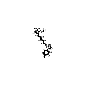 Cc1ccc(S(=O)(=O)OCCCCCCCCC(=O)O)cc1